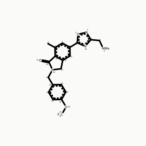 CNCc1noc(-c2cc(C)c3c(c2)CN(Cc2ccc(OC(F)(F)F)cc2)C3=O)n1